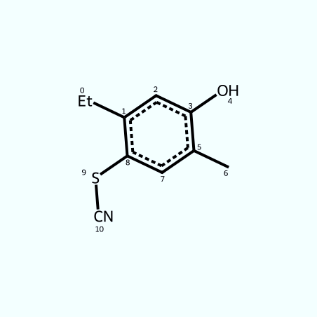 CCc1cc(O)c(C)cc1SC#N